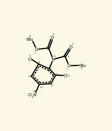 CC(C)(C)OC(=O)N(C(=O)OC(C)(C)C)c1c(Cl)cc([N+](=O)[O-])cc1Cl